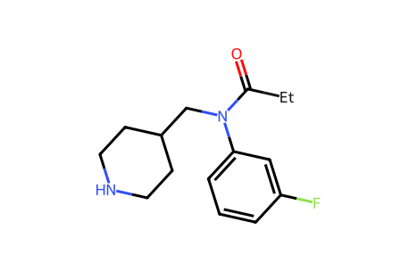 CCC(=O)N(CC1CCNCC1)c1cccc(F)c1